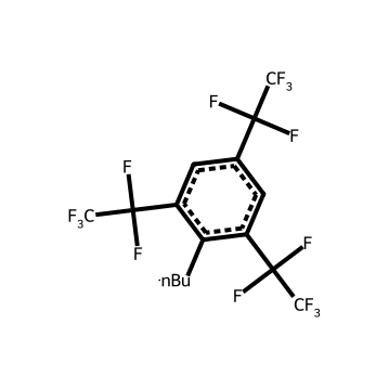 CCC[CH]c1c(C(F)(F)C(F)(F)F)cc(C(F)(F)C(F)(F)F)cc1C(F)(F)C(F)(F)F